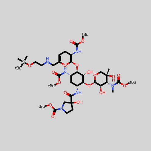 CN(C(=O)OC(C)(C)C)[C@@H]1[C@@H](O)[C@@H](O[C@@H]2[C@@H](O)[C@H](O[C@H]3OC(CNCCO[Si](C)(C)C(C)(C)C)=CC[C@H]3NC(=O)OC(C)(C)C)[C@@H](NC(=O)OC(C)(C)C)C[C@H]2NC(=O)C2(O)CCN(C(=O)OC(C)(C)C)C2)OC[C@]1(C)O